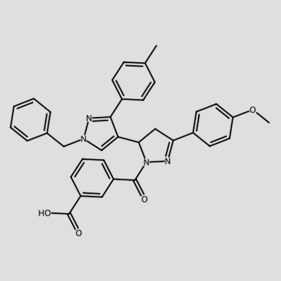 COc1ccc(C2=NN(C(=O)c3cccc(C(=O)O)c3)C(c3cn(Cc4ccccc4)nc3-c3ccc(C)cc3)C2)cc1